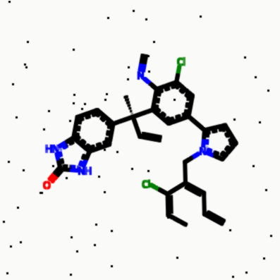 C=C/C=C(Cn1cccc1-c1cc(Cl)c(N=C)c([C@@](C)(C=C)c2ccc3[nH]c(=O)[nH]c3c2)c1)\C(Cl)=C/C